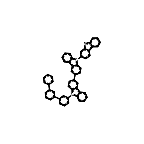 c1ccc(-c2cccc(-c3cccc(-n4c5ccccc5c5cc(-c6ccc7c(c6)c6ccccc6n7-c6ccc7c(c6)sc6ccccc67)ccc54)c3)c2)cc1